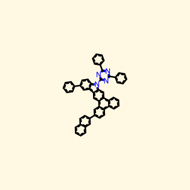 c1ccc(-c2ccc3c(c2)c2cc4c5cc(-c6ccc7ccccc7c6)ccc5c5ccccc5c4cc2n3-c2nc(-c3ccccc3)nc(-c3ccccc3)n2)cc1